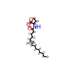 CCCCCCCC[Si](C)(C)CCCCC(=O)NC1CCOC1=O